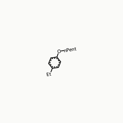 C[CH]CCCOc1ccc(CC)cc1